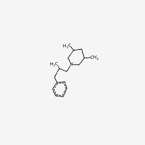 CC(Cc1ccccc1)CN1CC(C)CC(C)C1